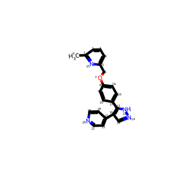 Cc1cccc(COc2ccc(-c3[nH]ncc3-c3ccncc3)cc2)n1